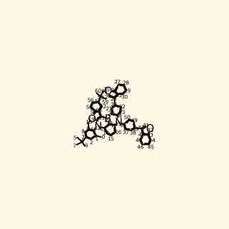 Cc1cc(C(C)(C)C)cc(C)c1N1c2cccc3c2B(c2cc(-c4coc5ccccc45)ccc2N3c2ccc(-c3coc4ccccc34)cc2)c2c1oc1ccc(C(C)(C)C)cc21